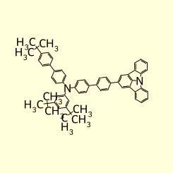 CC(C)(C)c1ccc(-c2ccc(N(c3ccc(-c4ccc(-c5cc6c7ccccc7n7c8ccccc8c(c5)c67)cc4)cc3)c3cc(C(C)(C)C)cc(C(C)(C)C)c3)cc2)cc1